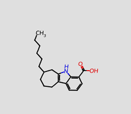 CCCCCCC1CCCc2c([nH]c3c(C(=O)O)cccc23)C1